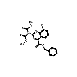 CC(C)(C)OC(=O)N(C(=O)OC(C)(C)C)c1nc(C(=O)OCc2ccccc2)c2cccc(F)c2n1